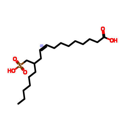 CCCCCCC(C/C=C\CCCCCCCC(=O)O)CS(=O)(=O)O